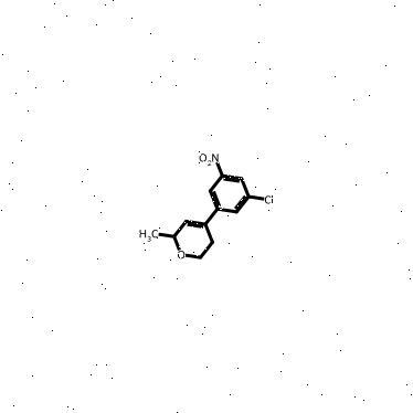 CC1C=C(c2cc(Cl)cc([N+](=O)[O-])c2)CCO1